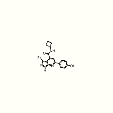 CCc1n[nH]c2nc(-c3ccc(O)cc3)cc(C(=O)NN3CCC3)c12